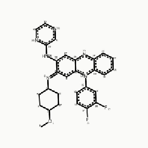 COC1CCC(/N=c2\cc3n(-c4ccc(F)c(F)c4)c4ccccc4nc-3cc2Nc2cnccn2)CC1